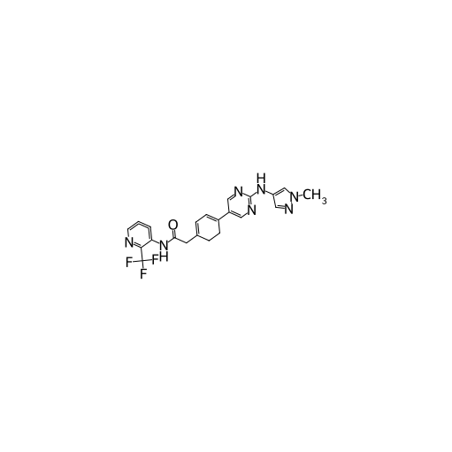 Cn1cc(Nc2ncc(C3=CC=C(CC(=O)NC4=C=C=CN=C4C(F)(F)F)CC3)cn2)cn1